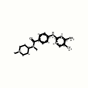 CN1CCC(N(C)C(=O)c2ccc(Nc3ncc(C(F)(F)F)c(N)n3)cc2)CC1